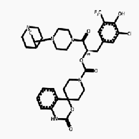 O=C1Nc2ccccc2C2(CCN(C(=O)O[C@H](Cc3cc(Cl)c(O)c(C(F)(F)F)c3)C(=O)N3CCN(C4CN5CCC4CC5)CC3)CC2)O1